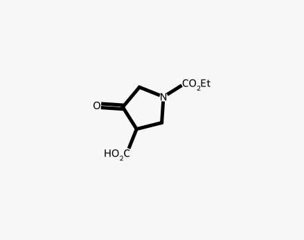 CCOC(=O)N1CC(=O)C(C(=O)O)C1